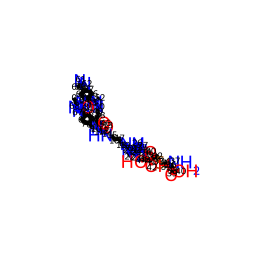 Cc1nnc(-c2ccc(CN(CC(=O)NCCCCNc3ncnc4c3ncn4C3OC(CSCC[C@H](N)C(=O)O)C(O)C3O)C(=O)CC/C=N/N(C)C(=O)c3ccc(C4(C)N=N4)cc3)cc2)nn1